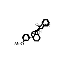 COC(=O)/C=C/[C@H]1[C@@H]2CCC[C@@]1(c1cccc(OC)c1)CCN2CCc1ccccc1